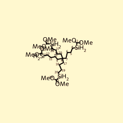 COC(OC)[SiH2]CCCCC(CCCC[SiH2]C(OC)OC)(CCCC[SiH2]C(OC)OC)CCCC[SiH2]C(OC)OC